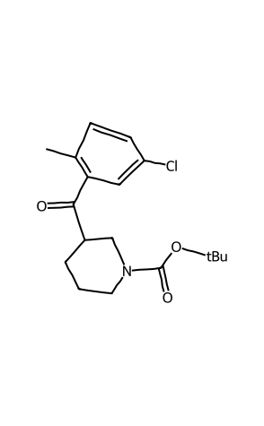 Cc1ccc(Cl)cc1C(=O)C1CCCN(C(=O)OC(C)(C)C)C1